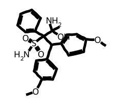 COc1ccc(C(c2ccc(OC)cc2)C(c2ccccc2)(C(C)(N)O)S(N)(=O)=O)cc1